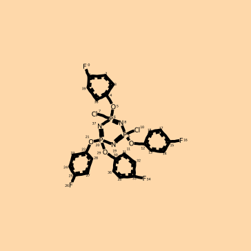 Fc1ccc(OP2(Cl)=NP(Cl)(Oc3ccc(F)cc3)=NP(Oc3ccc(F)cc3)(Oc3ccc(F)cc3)=N2)cc1